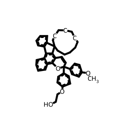 COc1ccc(C2(c3ccc(OCCO)cc3)C=Cc3c4c(c5ccccc5c3O2)-c2ccccc2C42CCCCCCCCCCC2)cc1